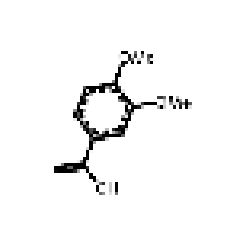 C=C(O)c1ccc(OC)c(OC)c1